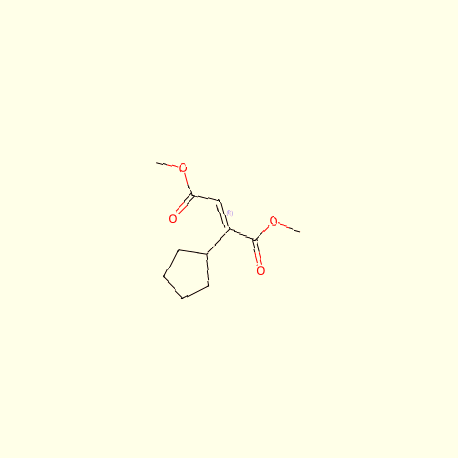 COC(=O)/C=C(/C(=O)OC)C1CCCC1